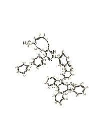 C=C1/C=C\C=C/Cc2nc(-c3ccc4sc5ccc(-n6c7ccccc7c7c8ccccc8c8c9ccccc9sc8c76)cc5c4c3)nc(-c3ccc(-c4ccccc4)cc3)c2/C=C\1